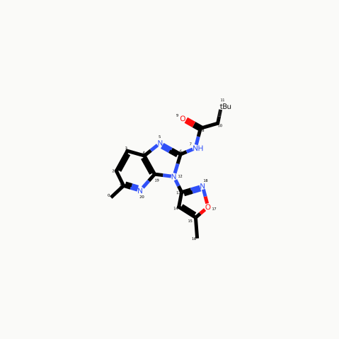 Cc1ccc2nc(NC(=O)CC(C)(C)C)n(-c3cc(C)on3)c2n1